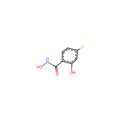 O=C(NO)c1ccc(F)cc1O